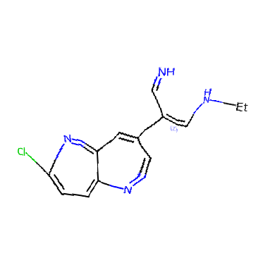 CCN/C=C(\C=N)c1cnc2ccc(Cl)nc2c1